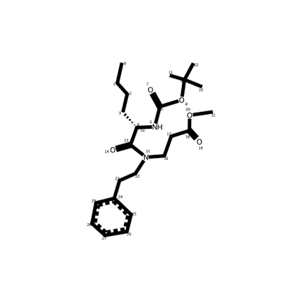 CCCC[C@H](NC(=O)OC(C)(C)C)C(=O)N(CCC(=O)OC)CCc1ccccc1